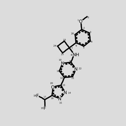 COc1cccc(C2(Nc3ncc(-c4nnc(C(F)F)o4)cn3)CCC2)c1